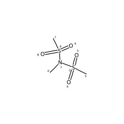 CN(S(C)(=O)=O)S(C)(=O)=O